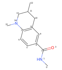 CNC(=O)c1ccc2c(c1)CC(C)CN2C